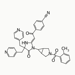 Cc1ccccc1S(=O)(=O)N1CC2C(C1)C2N1C(=O)C(Cc2ccncc2)(Cc2ccncc2)NC1=CC(=O)c1ccc(C#N)cc1